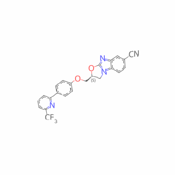 N#Cc1ccc2c(c1)nc1n2C[C@@H](COc2ccc(-c3cccc(C(F)(F)F)n3)cc2)O1